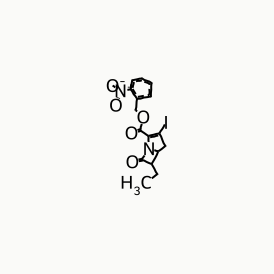 CCC1C(=O)N2C(C(=O)OCc3ccccc3[N+](=O)[O-])=C(I)CC12